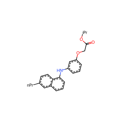 CCCc1ccc2c(Nc3cccc(OCC(=O)OC(C)C)c3)cccc2c1